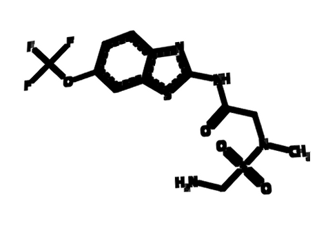 CN(CC(=O)Nc1nc2ccc(OC(F)(F)F)cc2s1)S(=O)(=O)CN